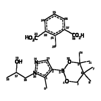 Cc1c(B2OCC(C)(C)C(C)(C)O2)cnn1CC(C)O.Cc1c(C(=O)O)cccc1C(=O)O